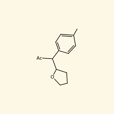 CC(=O)C(c1ccc(C)cc1)C1CCCO1